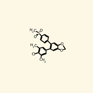 Cc1cc(-c2cc3c(cc2-c2ccc(S(C)(=O)=O)cc2)OCO3)cc(C)c1Cl